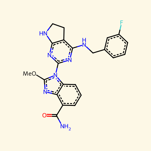 COc1nc2c(C(N)=O)cccc2n1-c1nc2c(c(NCc3cccc(F)c3)n1)CCN2